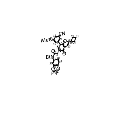 CCN(C(=O)Cn1nc(-c2cc(C#N)cc(OC)c2)c2oc(C3CCC3)cc2c1=O)c1ccc2c(c1)OC(F)(F)O2